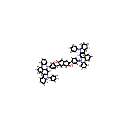 c1ccc(N(c2ccc3c(c2)oc2cc4cc5c(cc4cc23)oc2cc(N(c3ccccc3)c3cc4c(c6ccccc36)c3ccccc3n4-c3ccccc3)ccc25)c2cc3c(c4ccccc24)c2ccccc2n3-c2ccccc2)cc1